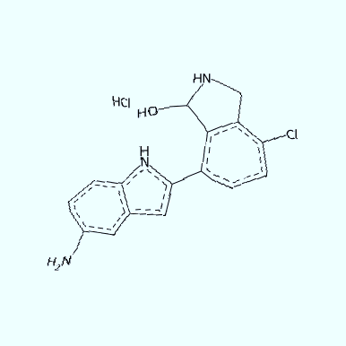 Cl.Nc1ccc2[nH]c(-c3ccc(Cl)c4c3C(O)NC4)cc2c1